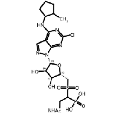 CC(=O)NCC(P(=O)(O)O)S(=O)(=O)C[C@H]1O[C@@H](n2ncc3c(NC4CCCC4C)nc(Cl)nc32)[C@H](O)[C@@H]1O